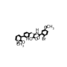 COc1ccc(Br)c(C(=O)N[C@@H](Cc2ccc(-c3cccn(C)c3=O)cc2)C(=O)O)c1